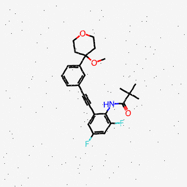 COC1(c2cccc(C#Cc3cc(F)cc(F)c3NC(=O)C(C)(C)C)c2)CCOCC1